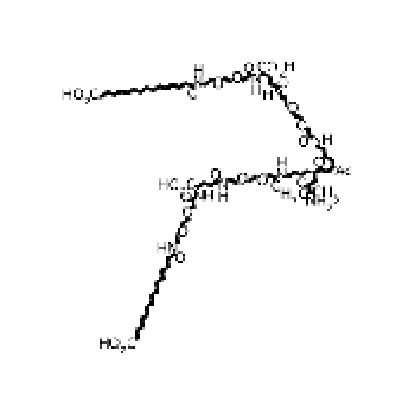 CC(=O)[C@H](CCCCNC(=O)COCCOCCNC(=O)CC[C@H](NC(=O)COCCOCCNC(=O)CCCCCCCCCCCCCCC(=O)O)C(=O)O)CC(=O)[C@H](CCCCNC(=O)COCCOCCNC(=O)CC[C@H](NC(=O)COCCOCCNC(=O)CCCCCCCCCCCCCCC(=O)O)C(=O)O)CC(=O)C(C)(C)N